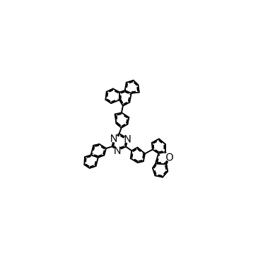 c1cc(-c2nc(-c3ccc(-c4cc5ccccc5c5ccccc45)cc3)nc(-c3ccc4ccccc4c3)n2)cc(-c2cccc3oc4ccccc4c23)c1